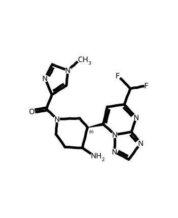 Cn1cnc(C(=O)N2CCC(N)[C@H](c3cc(C(F)F)nc4ncnn34)C2)c1